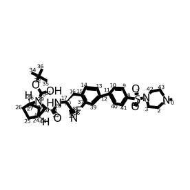 CN1CCN(S(=O)(=O)c2ccc(-c3ccc(C[C@@H](C#N)NC(=O)[C@@H]4[C@H]5CC[C@H](C5)N4C(O)OC(C)(C)C)c(F)c3)cc2)CC1